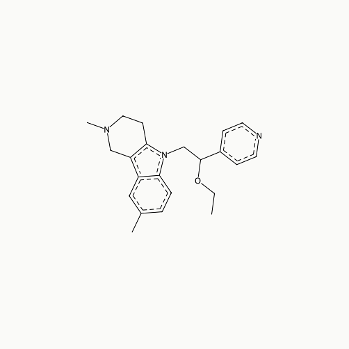 CCOC(Cn1c2c(c3cc(C)ccc31)CN(C)CC2)c1ccncc1